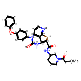 COCC(=O)N1CCCC(NC(=O)c2sc3nccc4c3c2NC(=O)N4c2ccc(Oc3ccccc3)cc2)C1